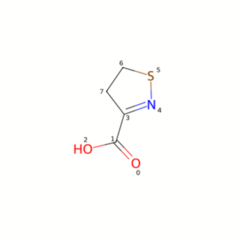 O=C(O)C1=NSCC1